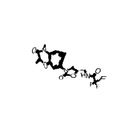 CC1Oc2cc(N3C[C@H](CNC(=O)C(F)(F)F)OC3=O)ccc2N(C)C1=O